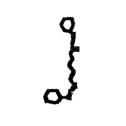 C(=NCCCCCNC=NC1CCCCC1)=NC1CCCCC1